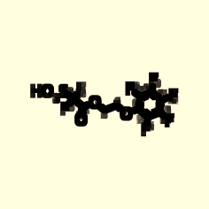 O=C(OCCOc1c(F)c(F)c(F)c(F)c1F)C(F)(F)S(=O)(=O)O